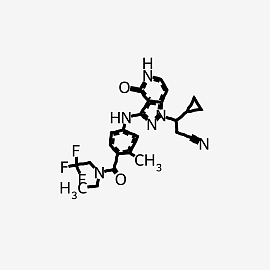 CCN(CC(F)(F)F)C(=O)c1ccc(Nc2nn(C(CC#N)C3CC3)c3cc[nH]c(=O)c23)cc1C